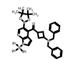 CC(C)[Si](C(C)C)(C(C)C)n1ccc2c(C(=O)C3CC(N(Cc4ccccc4)Cc4ccccc4)C3)c(B3OC(C)(C)C(C)(C)O3)cnc21